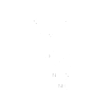 Nc1ncc(-c2ccc(-c3ccccc3Oc3ccncc3)cc2F)cn1